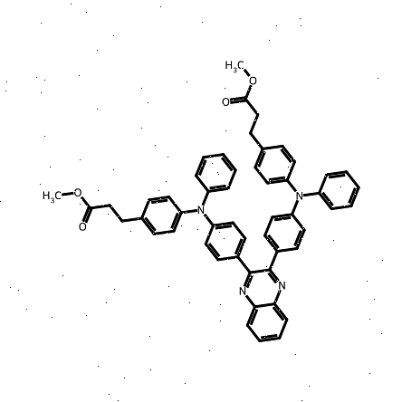 COC(=O)CCc1ccc(N(c2ccccc2)c2ccc(-c3nc4ccccc4nc3-c3ccc(N(c4ccccc4)c4ccc(CCC(=O)OC)cc4)cc3)cc2)cc1